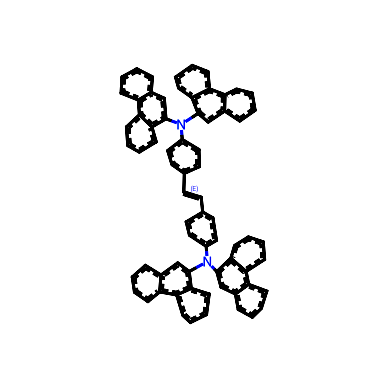 C(=C\c1ccc(N(c2cc3ccccc3c3ccccc23)c2cc3ccccc3c3ccccc23)cc1)/c1ccc(N(c2cc3ccccc3c3ccccc23)c2cc3ccccc3c3ccccc23)cc1